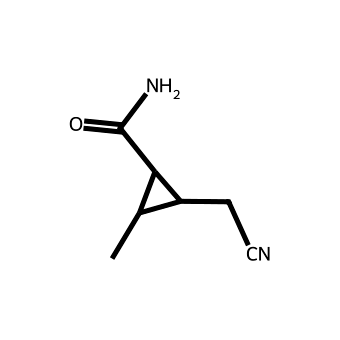 CC1C(CC#N)C1C(N)=O